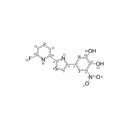 O=[N+]([O-])c1cc(-c2csc(-c3cccc(F)n3)n2)cc(O)c1O